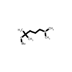 CCC(C)SC(C)(C)CCCN(C)C